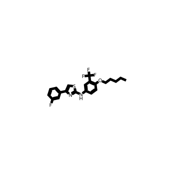 CCCCCOc1ccc(Nc2nc(-c3cccc(F)c3)cs2)cc1C(F)(F)F